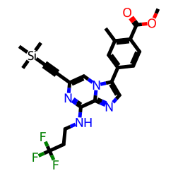 COC(=O)c1ccc(-c2cnc3c(NCCC(F)(F)F)nc(C#C[Si](C)(C)C)cn23)cc1C